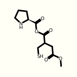 COC(=O)CC(CS)C(=O)OC(=O)[C@@H]1CCCN1